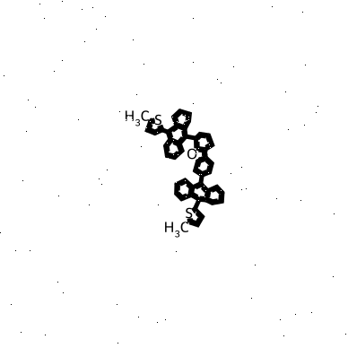 Cc1ccc(-c2c3ccccc3c(-c3ccc4c(c3)oc3c(-c5c6ccccc6c(-c6ccc(C)s6)c6ccccc56)cccc34)c3ccccc23)s1